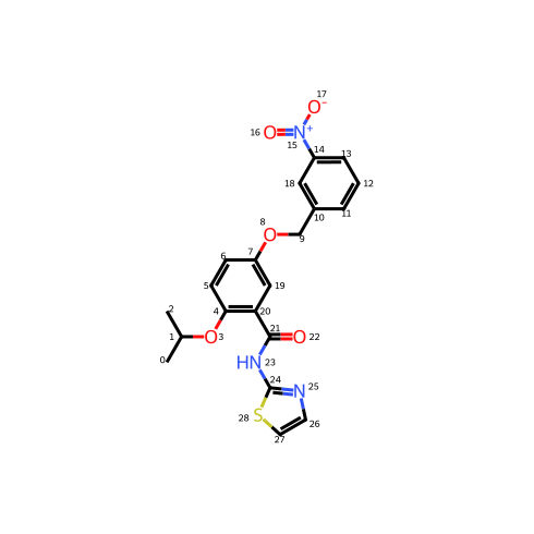 CC(C)Oc1ccc(OCc2cccc([N+](=O)[O-])c2)cc1C(=O)Nc1nccs1